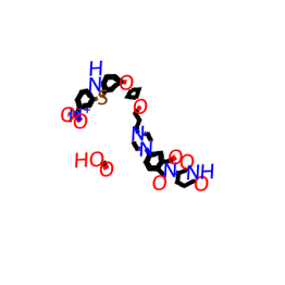 O=C1CCC(N2C(=O)c3ccc(N4CCN(CCCOC5CC(Oc6ccc7c(c6)Sc6cc([N+](=O)[O-])ccc6N7)C5)CC4)cc3C2=O)C(=O)N1.O=CO